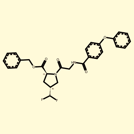 O=C(NCC(=O)N1C[C@H](C(F)F)C[C@H]1C(=O)OCc1ccccc1)c1ccc(Oc2ccccc2)cc1